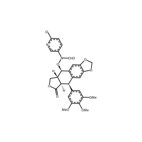 COc1cc([C@@H]2c3cc4c(cc3[C@H](ON(C=O)c3ccc(Cl)nc3)[C@H]3COC(=O)[C@H]23)OCO4)cc(OC)c1OC